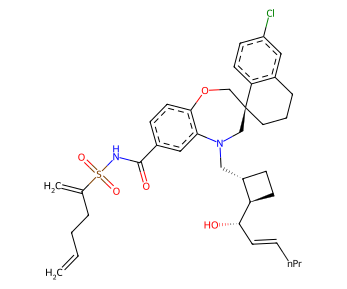 C=CCCC(=C)S(=O)(=O)NC(=O)c1ccc2c(c1)N(C[C@@H]1CC[C@H]1[C@@H](O)/C=C/CCC)C[C@@]1(CCCc3cc(Cl)ccc31)CO2